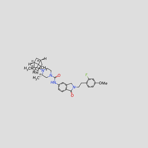 COc1ccc(CCN2Cc3cc(NC(=O)N4CCN([C@H]5C[C@H]6C[C@@H]([C@@H]5C)C6(C)C)[C@@H](C)C4)ccc3C2=O)c(F)c1